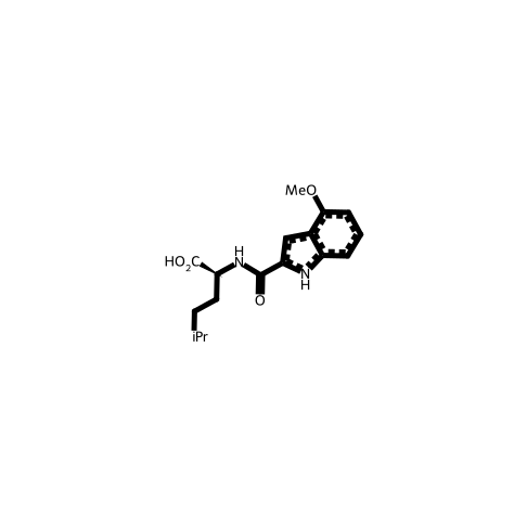 COc1cccc2[nH]c(C(=O)N[C@@H](CCC(C)C)C(=O)O)cc12